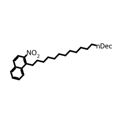 CCCCCCCCCCCCCCCCCCCCCCc1c([N+](=O)[O-])ccc2ccccc12